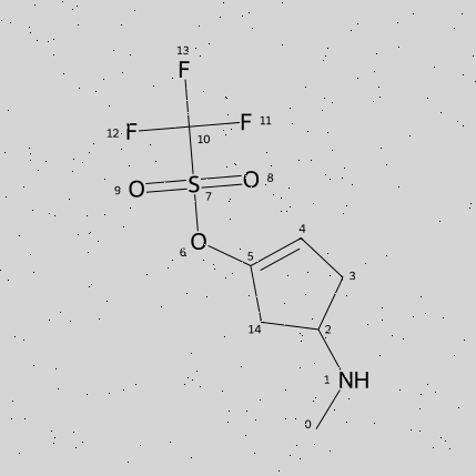 CNC1CC=C(OS(=O)(=O)C(F)(F)F)C1